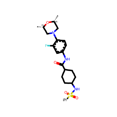 CC(C)S(=O)(=O)NC1CCC(C(=O)Nc2ccc(N3C[C@@H](C)O[C@@H](C)C3)c(F)c2)CC1